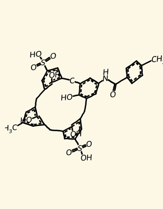 Cc1ccc(C(=O)Nc2cc3c(O)c(c2)Cc2cc(S(=O)(=O)O)cc(c2O)Cc2cc(C)cc(c2O)Cc2cc(S(=O)(=O)O)cc(c2O)C3)cc1